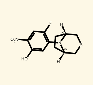 O=[N+]([O-])c1cc(F)c(N2[C@@H]3CC[C@H]2CSC3)cc1O